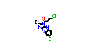 CCc1nc2nc3cc(Cl)ccc3nc2n1C(=O)CCCCl